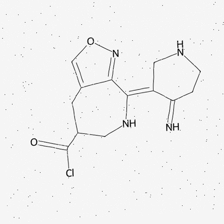 N=C1CCNC/C1=C1/NCC(C(=O)Cl)Cc2conc21